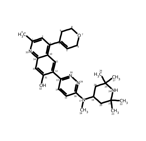 Cc1cc(C2=CCOCC2)c2cc(-c3ccc(N(C)C4CC(C)(C)NC(C)(C)C4)nn3)c(O)cc2n1